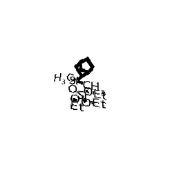 CCO[Si](OCC)(OCC)O[Si](C)(C)C1CC2C=CC1C2